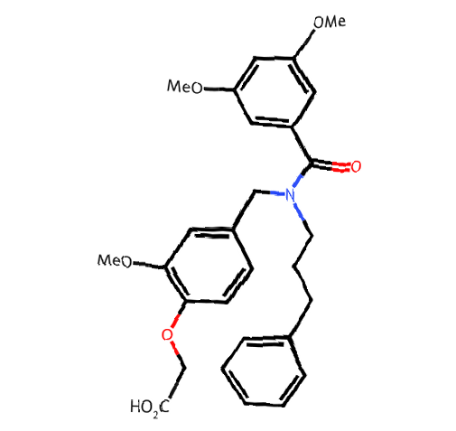 COc1cc(OC)cc(C(=O)N(CCCc2ccccc2)Cc2ccc(OCC(=O)O)c(OC)c2)c1